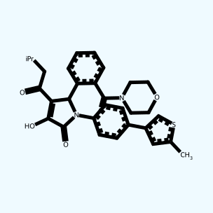 Cc1cc(-c2ccc(N3C(=O)C(O)=C(C(=O)CC(C)C)C3c3ccccc3C(=O)N3CCOCC3)cc2)cs1